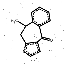 CC1Cc2sccc2C(=O)c2ccccc21